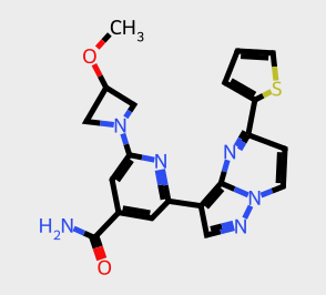 COC1CN(c2cc(C(N)=O)cc(-c3cnn4ccc(-c5cccs5)nc34)n2)C1